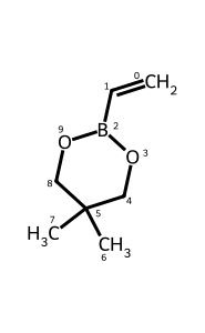 C=CB1OCC(C)(C)CO1